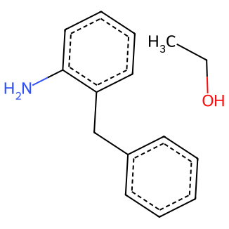 CCO.Nc1ccccc1Cc1ccccc1